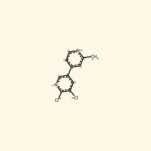 Cc1cc(-c2cnc(Cl)c(Cl)c2)ccn1